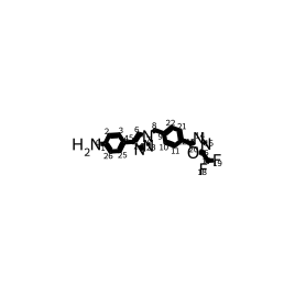 Nc1ccc(-c2cn(Cc3ccc(-c4nnc(C(F)F)o4)cc3)nn2)cc1